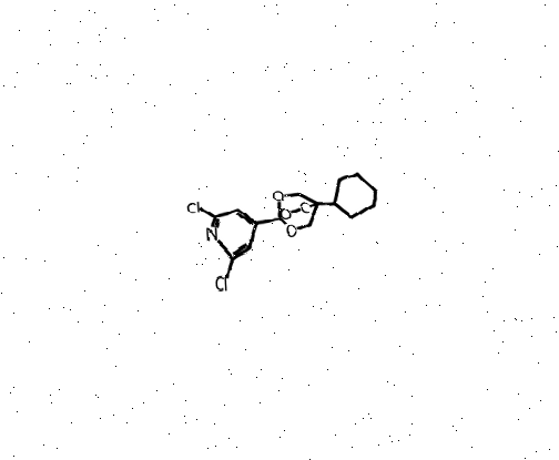 Clc1cc(C23OCC(C4CCCCC4)(CO2)CO3)cc(Cl)n1